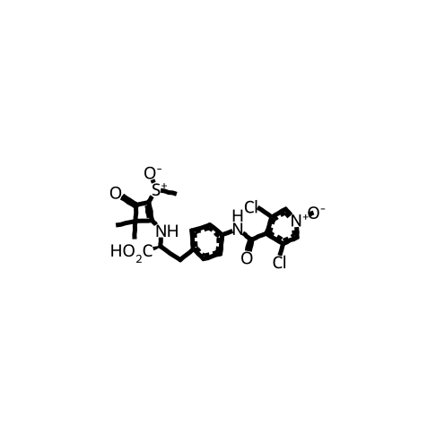 C[S+]([O-])C1=C(N[C@@H](Cc2ccc(NC(=O)c3c(Cl)c[n+]([O-])cc3Cl)cc2)C(=O)O)C(C)(C)C1=O